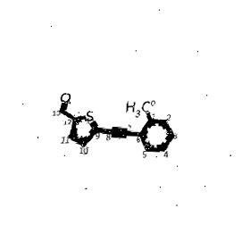 Cc1ccccc1C#Cc1ccc(C=O)s1